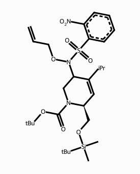 C=CCON(C1CN(C(=O)OC(C)(C)C)[C@H](CO[Si](C)(C)C(C)(C)C)C=C1C(C)C)S(=O)(=O)c1ccccc1[N+](=O)[O-]